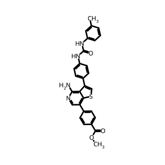 COC(=O)c1ccc(-c2cnc(N)c3c(-c4ccc(NC(=O)Nc5cccc(C)c5)cc4)csc23)cc1